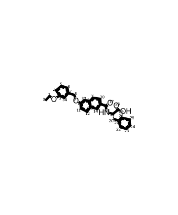 CCOc1cccc(COc2ccc3cc(C(=O)N[C@@H](Cc4ccccc4)C(=O)O)ccc3c2)c1